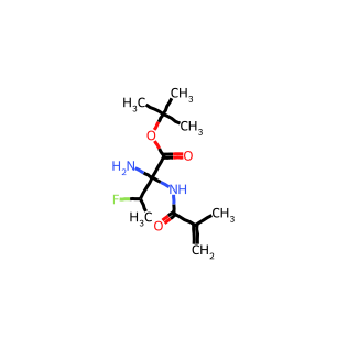 C=C(C)C(=O)NC(N)(C(=O)OC(C)(C)C)C(C)F